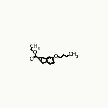 CCCCOc1ccc2c(c1)C1C(C2)C1C(=O)OCC